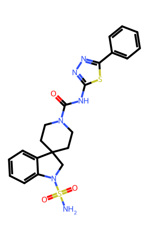 NS(=O)(=O)N1CC2(CCN(C(=O)Nc3nnc(-c4ccccc4)s3)CC2)c2ccccc21